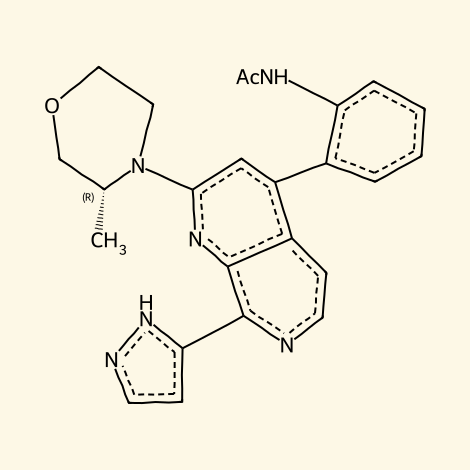 CC(=O)Nc1ccccc1-c1cc(N2CCOC[C@H]2C)nc2c(-c3ccn[nH]3)nccc12